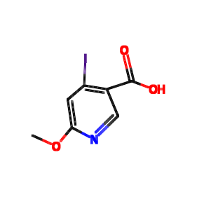 COc1cc(I)c(C(=O)O)cn1